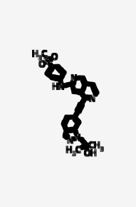 CC(C)(O)Cn1ncc2ccc(C#Cc3nccc4cnc(Nc5ccc(S(C)(=O)=O)cc5)cc34)cc21